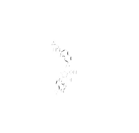 COc1ncnc2c1ccn2[C@@H]1S[C@H](COc2ccc3ccc(NCC4CC4)nc3c2)[C@@H](O)[C@H]1O